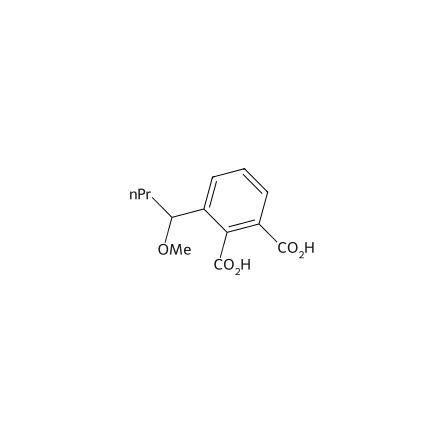 CCCC(OC)c1cccc(C(=O)O)c1C(=O)O